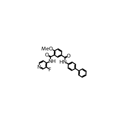 COc1ccc(C(=O)Nc2ccc(-c3ccccc3)cc2)cc1C(=O)Nc1ccncc1F